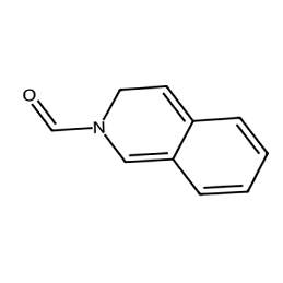 O=CN1C=c2ccccc2=CC1